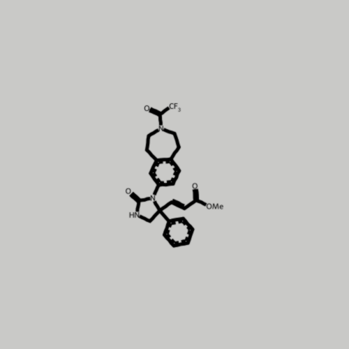 COC(=O)/C=C/C1(c2ccccc2)CNC(=O)N1c1ccc2c(c1)CCN(C(=O)C(F)(F)F)CC2